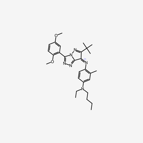 CCCCN(CC)c1ccc(/N=C2/C(C(C)(C)C)=Nn3c2nnc3-c2cc(OC)ccc2OC)c(C)c1